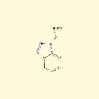 CCCCCCn1ncc2ccccc21